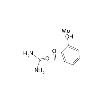 C=O.NC(N)=O.Oc1ccccc1.[Mo]